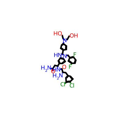 NC(=O)CC(NC(=O)C(N)Cc1ccc(Cl)c(Cl)c1)c1ccc2c(c1)NC(c1ccc(N(CCO)CCO)cc1)N2Cc1cc(F)ccc1F